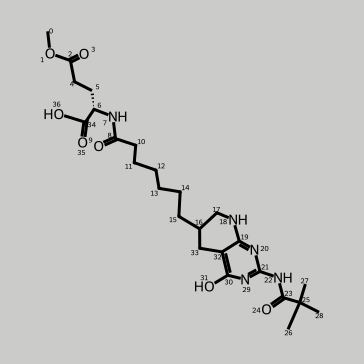 COC(=O)CC[C@H](NC(=O)CCCCCCC1CNc2nc(NC(=O)C(C)(C)C)nc(O)c2C1)C(=O)O